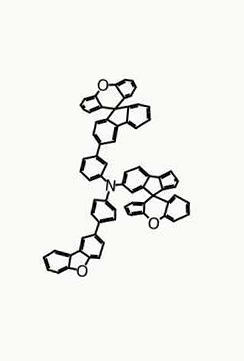 c1cc(-c2ccc3c(c2)-c2ccccc2C32c3ccccc3Oc3ccccc32)cc(N(c2ccc(-c3ccc4oc5ccccc5c4c3)cc2)c2ccc3c(c2)C2(c4ccccc4Oc4ccccc42)c2ccccc2-3)c1